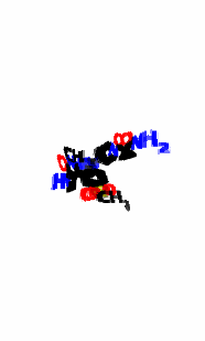 Cn1cc(-c2cc(S(C)(=O)=O)ccc2NC2CCN(C(=O)C3(C(N)=O)CC3)CC2)c2cc[nH]c2c1=O